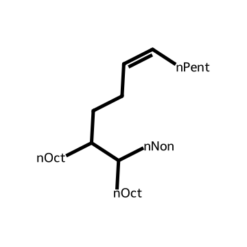 [CH2]CCCCCCCC(CC/C=C\CCCCC)C(CCCCCCCC)CCCCCCCCC